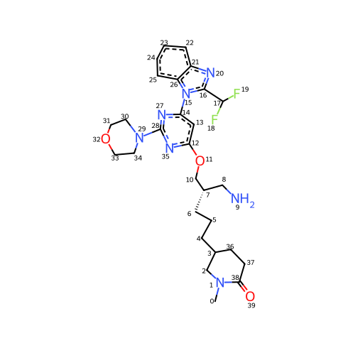 CN1CC(CCC[C@@H](CN)COc2cc(-n3c(C(F)F)nc4ccccc43)nc(N3CCOCC3)n2)CCC1=O